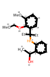 CCC(CC)(Pc1ccccc1C(C)O)c1cccc(OC)c1OCOC